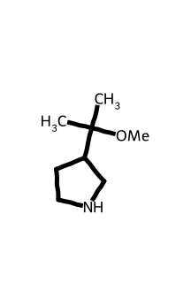 COC(C)(C)C1CCNC1